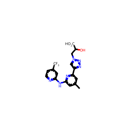 Cc1cc(Nc2cc(C(F)(F)F)ccn2)nc(-c2cn(CC(O)C(=O)O)nn2)c1